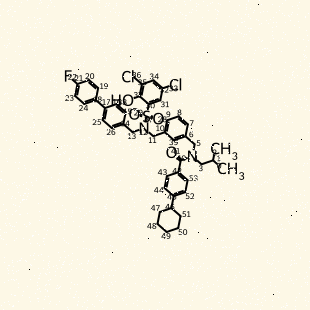 CC(C)CN(Cc1cccc(CN(Cc2ccc(-c3ccc(F)cc3)cc2)S(=O)(=O)c2cc(Cl)cc(Cl)c2O)c1)C(=O)c1ccc(C2CCCCC2)cc1